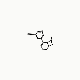 C#Cc1cncc(C2=CCCC3CNC23)c1